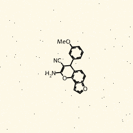 COc1cccc(C2C(C#N)=C(N)Oc3c2ccc2occc32)c1